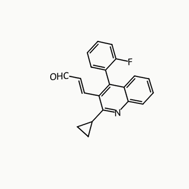 O=CC=Cc1c(C2CC2)nc2ccccc2c1-c1ccccc1F